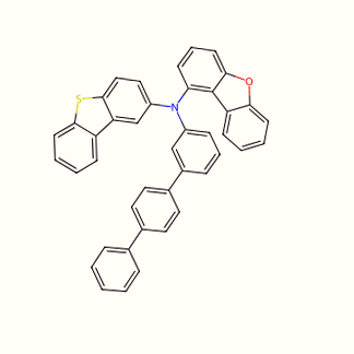 c1ccc(-c2ccc(-c3cccc(N(c4ccc5sc6ccccc6c5c4)c4cccc5oc6ccccc6c45)c3)cc2)cc1